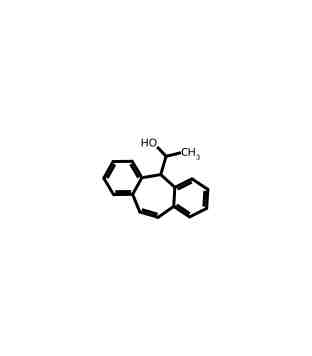 CC(O)C1c2ccccc2C=Cc2ccccc21